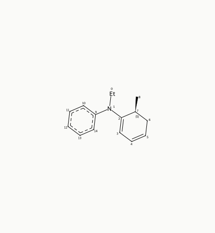 CCN(C1=CC=CC[C@@H]1C)c1ccccc1